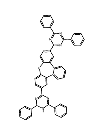 c1ccc(C2=NC(c3ccc4c(c3)-c3ccccc3-c3cc(-c5nc(-c6ccccc6)nc(-c6ccccc6)n5)ccc3O4)=NC(c3ccccc3)N2)cc1